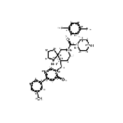 Cc1cccc(-c2cc(=O)n(C[C@]3(O)CCN(C(=O)N4CCNC[C@H]4c4cc(F)ccc4F)CC34CCCC4)cn2)c1